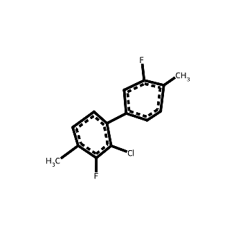 Cc1ccc(-c2ccc(C)c(F)c2Cl)cc1F